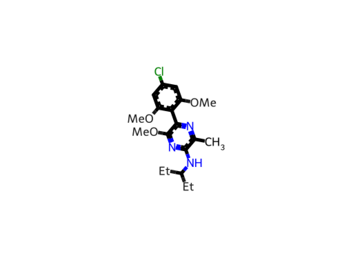 CCC(CC)Nc1nc(OC)c(-c2c(OC)cc(Cl)cc2OC)nc1C